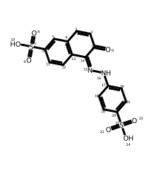 O=C1C=Cc2cc(S(=O)(=O)O)ccc2C1=NNc1ccc(S(=O)(=O)O)cc1